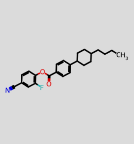 CCCCC1CCC(c2ccc(C(=O)Oc3ccc(C#N)cc3F)cc2)CC1